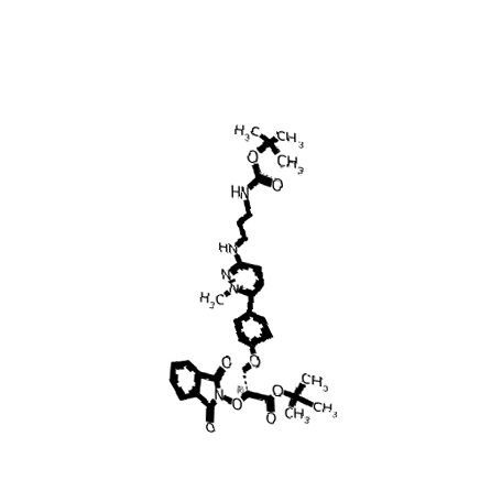 C[n+]1nc(NCCCNC(=O)OC(C)(C)C)ccc1-c1ccc(OC[C@@H](ON2C(=O)c3ccccc3C2=O)C(=O)OC(C)(C)C)cc1